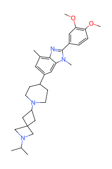 COc1ccc(-c2nc3c(C)cc(C4CCN(C5CC6(C5)CN(C(C)C)C6)CC4)cc3n2C)cc1OC